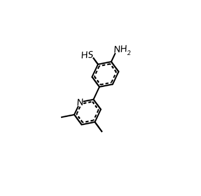 Cc1cc(C)nc(-c2ccc(N)c(S)c2)c1